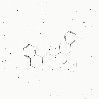 O=C(O)N1Cc2ccccc2CC1CNC1CCCc2cccnc21